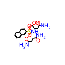 NC(=O)CC(NS(=O)(=O)c1ccc2ccccc2c1)C(=O)O.NC(=O)CCC(N)=O